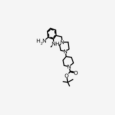 CNc1c(N)cccc1CN1CCN(C2CCN(C(=O)OC(C)(C)C)CC2)CC1